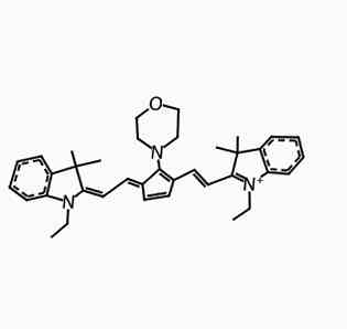 CCN1/C(=C/C=C2\C=CC(/C=C/C3=[N+](CC)c4ccccc4C3(C)C)=C2N2CCOCC2)C(C)(C)c2ccccc21